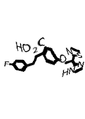 O=C(O)c1cc(OCC(c2ncc[nH]2)c2nccs2)ccc1CCc1ccc(F)cc1